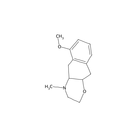 COc1cccc2c1CC1C(C2)OCCN1C